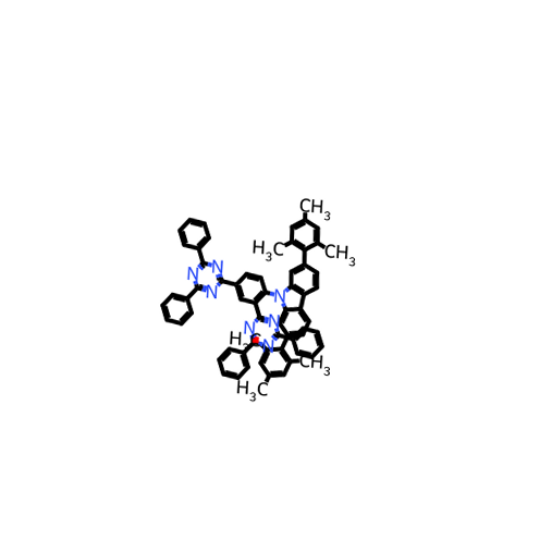 Cc1cc(C)c(-c2ccc3c4ccc(-c5c(C)cc(C)cc5C)cc4n(-c4ccc(-c5nc(-c6ccccc6)nc(-c6ccccc6)n5)cc4-c4nc(-c5ccccc5)nc(-c5ccccc5)n4)c3c2)c(C)c1